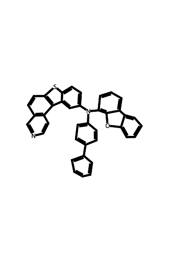 c1ccc(-c2ccc(N(c3ccc4sc5ccc6cnccc6c5c4c3)c3cccc4c3oc3ccccc34)cc2)cc1